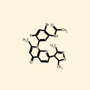 CC(=O)Nc1cc(-n2c(C)cc(=O)c3ccc(C4C(C)=NOC4C)nc32)c(F)cc1Br